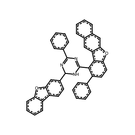 c1ccc(C2=NC(c3ccc4c(c3)oc3ccccc34)NC(c3c(-c4ccccc4)ccc4oc5cc6ccccc6cc5c34)=N2)cc1